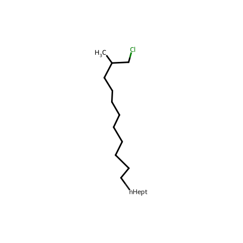 CCCCCCCCCCCCCCCCC(C)CCl